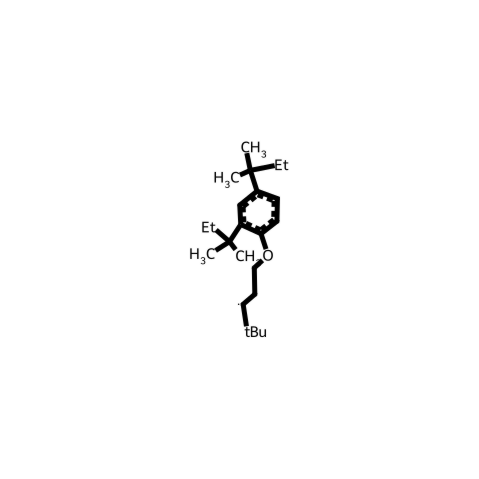 CCC(C)(C)c1ccc(OCC[CH]C(C)(C)C)c(C(C)(C)CC)c1